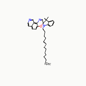 CCCCCCCCCCCCCCCCCCCCCCN1c2ccccc2C(C)(C)C12C=Nc1c(ccc3ccncc13)O2